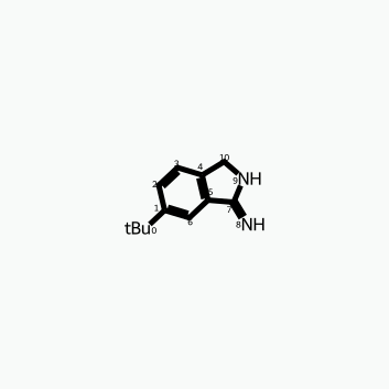 CC(C)(C)c1ccc2c(c1)C(=N)NC2